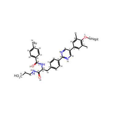 CCCCCCCOc1c(C)cc(-c2cnc(-c3ccc(C[C@H](NC(=O)c4ccc(C(C)(C)C)cc4)C(=O)NCCC(=O)O)cc3)nc2)cc1C